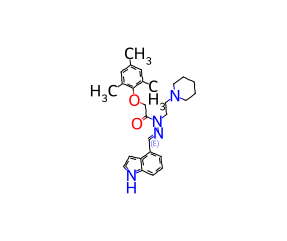 Cc1cc(C)c(OCC(=O)N(CCN2CCCCC2)/N=C/c2cccc3[nH]ccc23)c(C)c1